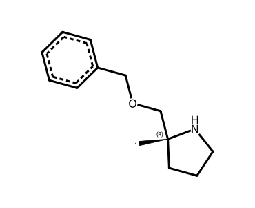 [CH2][C@]1(COCc2ccccc2)CCCN1